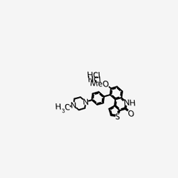 COc1ccc2[nH]c(=O)c3sccc3c2c1-c1ccc(N2CCN(C)CC2)cc1.Cl.Cl